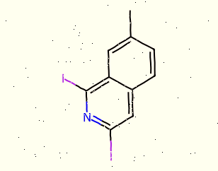 Cc1ccc2cc(I)nc(I)c2c1